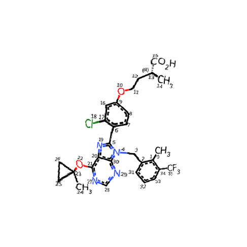 Cc1c(Cn2c(-c3ccc(OCC[C@@H](C)C(=O)O)cc3Cl)nc3c(OC4(C)CC4)ncnc32)cccc1C(F)(F)F